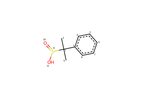 CC(C)(c1ccccc1)S(=O)O